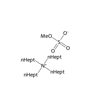 CCCCCCC[N+](CCCCCCC)(CCCCCCC)CCCCCCC.COS(=O)(=O)[O-]